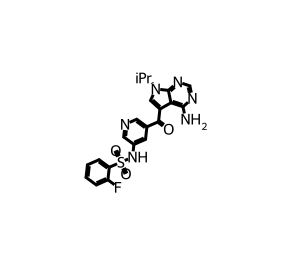 CC(C)n1cc(C(=O)c2cncc(NS(=O)(=O)c3ccccc3F)c2)c2c(N)ncnc21